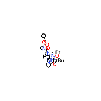 CC(C)[C@@H](CN1CCC[C@H]1C(=O)N1CCC[C@H]1C(=O)OCc1ccccc1)N(C)C(=O)[C@@H](NC(=O)[C@H]1CCCCN1C)C(C)(C)C